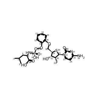 CC(C)CC(NP(=O)(O)OOc1ccccc1OC[C@H]1S[C@@H](n2ccc(N)nc2=O)[C@@H](F)[C@@H]1O)C(=O)O